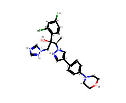 C[C@@H](n1cc(-c2ccc(N3CCOCC3)cc2)cn1)[C@](O)(Cn1cncn1)c1ccc(F)cc1F